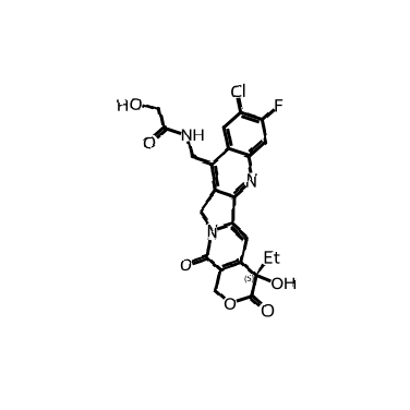 CC[C@@]1(O)C(=O)OCc2c1cc1n(c2=O)Cc2c-1nc1cc(F)c(Cl)cc1c2CNC(=O)CO